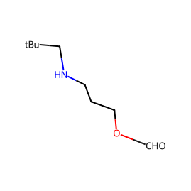 CC(C)(C)CNCCCOC=O